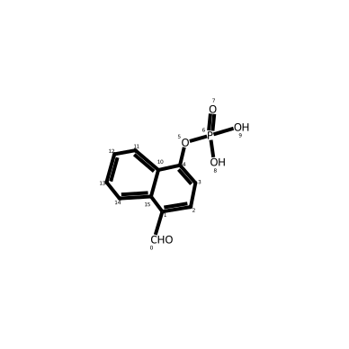 O=Cc1ccc(OP(=O)(O)O)c2ccccc12